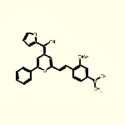 COc1cc(N(C)C)ccc1C=CC1=C/C(=C(\C#N)c2ccco2)C=C(c2ccccc2)O1